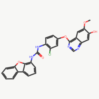 COc1cc2c(Oc3ccc(NC(=O)Nc4cccc5c4oc4ccccc45)c(Cl)c3)ncnc2cc1O